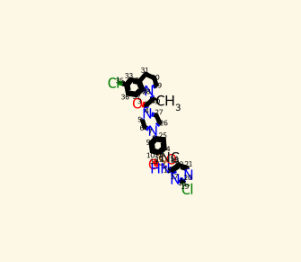 C[C@@H](C(=O)N1CCN(c2ccc(S(=O)(=O)Nc3nc(Cl)ncc3C#N)cc2)CC1)N1CCCc2cc(Cl)ccc21